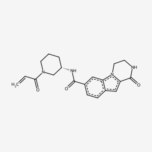 C=CC(=O)N1CCC[C@H](NC(=O)c2ccc3cc4n(c3c2)CCNC4=O)C1